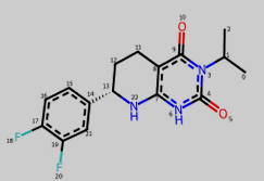 CC(C)n1c(=O)[nH]c2c(c1=O)CC[C@@H](c1ccc(F)c(F)c1)N2